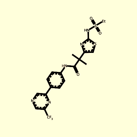 CCS(=O)(=O)Nc1nc(C(C)(C)C(=O)Nc2ccc(-c3cncc(C(F)(F)F)n3)cc2)cs1